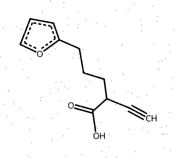 C#CC(CCCc1ccco1)C(=O)O